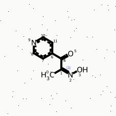 C/C(=N/O)C(=O)c1ccncc1